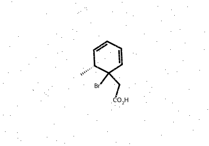 C[C@@H]1C=CC=CC1(Br)CC(=O)O